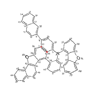 c1ccc(N(c2ccc(-c3ccc4ccccc4c3)cc2)c2cccc3oc4ccccc4c23)c(-c2cccc3oc4c5ccccc5ccc4c23)c1